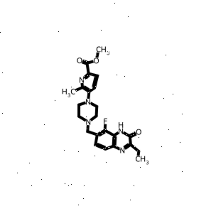 CCc1nc2ccc(CN3CCN(c4ccc(C(=O)OC)nc4C)CC3)c(F)c2[nH]c1=O